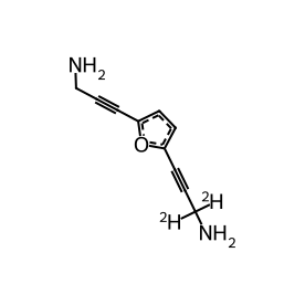 [2H]C([2H])(N)C#Cc1ccc(C#CCN)o1